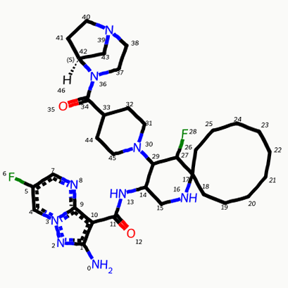 Nc1nn2cc(F)cnc2c1C(=O)NC1CNC2(CCCCCCCCC2)C(F)C1N1CCC(C(=O)N2CCN3CC[C@H]2C3)CC1